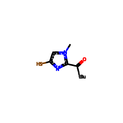 Cn1cc(S)nc1C(=O)C(C)(C)C